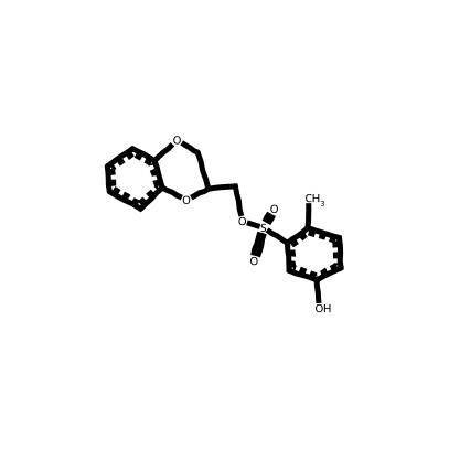 Cc1ccc(O)cc1S(=O)(=O)OCC1COc2ccccc2O1